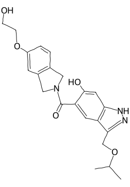 CC(C)OCc1n[nH]c2cc(O)c(C(=O)N3Cc4ccc(OCCO)cc4C3)cc12